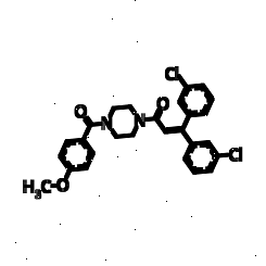 COc1ccc(C(=O)N2CCN(C(=O)C=C(c3cccc(Cl)c3)c3cccc(Cl)c3)CC2)cc1